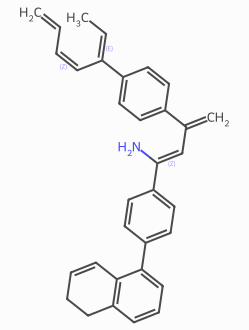 C=C/C=C\C(=C/C)c1ccc(C(=C)/C=C(\N)c2ccc(-c3cccc4c3C=CCC4)cc2)cc1